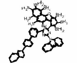 Bc1c(B)c(-c2nc(-c3cccc(-c4ccc(-c5ccc6ccccc6c5)cc4)c3)nc(-n3c4ccccc4c4ccccc43)n2)c2c(oc3c4c(B)c(B)c(B)c(B)c4c(B)c(B)c32)c1B